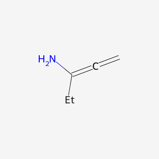 C=C=C(N)CC